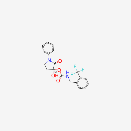 O=C(NCc1ccccc1C(F)(F)F)O[C@@]1(O)CCN(c2ccccc2)C1=O